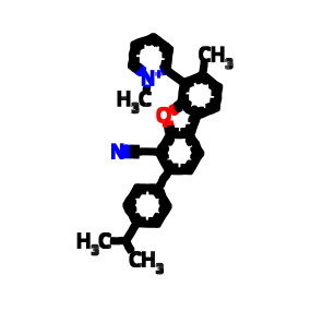 Cc1ccc2c(oc3c(C#N)c(-c4ccc(C(C)C)cc4)ccc32)c1-c1cccc[n+]1C